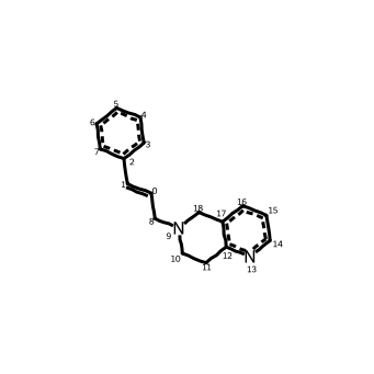 C(=Cc1ccccc1)CN1CCc2ncccc2C1